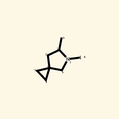 CC1CC2(CC2)CN1I